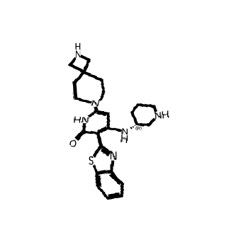 O=c1[nH]c(N2CCC3(CC2)CNC3)cc(N[C@@H]2CCCNC2)c1-c1nc2ccccc2s1